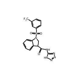 O=C(Nc1nnn[nH]1)C1CN(S(=O)(=O)c2cccc(C(F)(F)F)c2)c2ccccc21